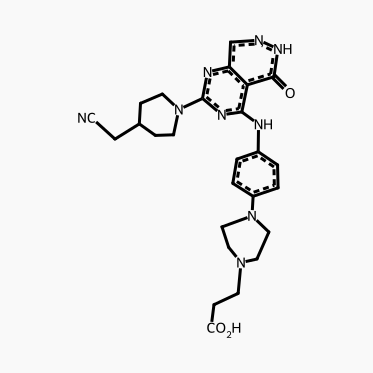 N#CCC1CCN(c2nc(Nc3ccc(N4CCN(CCC(=O)O)CC4)cc3)c3c(=O)[nH]ncc3n2)CC1